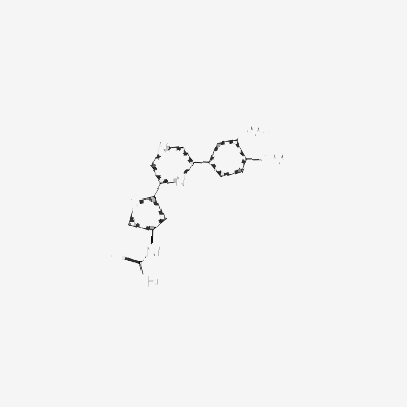 COc1ccc(-c2cncc(-c3cc(NC(=O)C(C)(C)C)cs3)n2)cc1OC